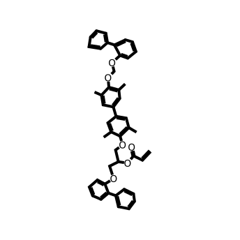 C=CC(=O)OC(COc1ccccc1-c1ccccc1)COc1c(C)cc(-c2cc(C)c(OCOc3ccccc3-c3ccccc3)c(C)c2)cc1C